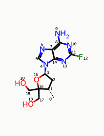 C[C@H]1C[C@H](n2cnc3c(N)nc(F)nc32)OC1(CO)CO